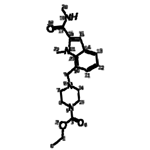 CCOC(=O)N1CCN(Cc2cccc3cc(C(=O)NC)n(C)c23)CC1